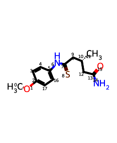 COc1ccc(NC(=S)[CH][C@H](C)CC(N)=O)cc1